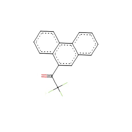 O=C(c1cc2ccccc2c2ccccc12)C(F)(F)F